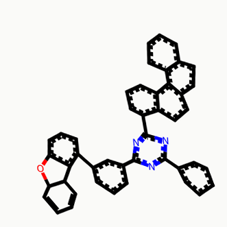 C1=CC2Oc3cccc(-c4cccc(-c5nc(-c6ccccc6)nc(-c6cccc7c6ccc6ccc8ccccc8c67)n5)c4)c3C2C=C1